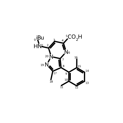 CCC(C)Nc1cc(C(=O)O)nc2c(-c3c(C)cccc3C)c(C)nn12